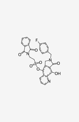 O=C1c2c(c(OS(=O)(=O)CCN3C(=O)c4ccccc4C3=O)c3cccnc3c2O)CN1Cc1ccc(F)cc1